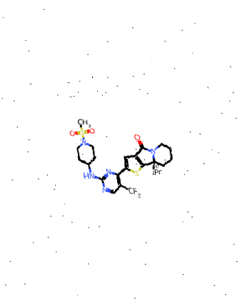 CC(C)[C@]12CCCCN1C(=O)c1cc(-c3nc(NC4CCN(S(C)(=O)=O)CC4)ncc3C(F)(F)F)sc12